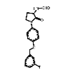 O=CN[C@@H]1CCN(c2ccc(OCc3cccc(F)c3)cc2)C1=O